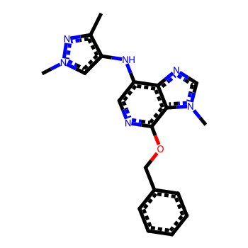 Cc1nn(C)cc1Nc1cnc(OCc2ccccc2)c2c1ncn2C